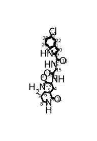 NC(=O)C(CC1CCCNC1=O)NC(=O)CNC(=O)c1cc2cc(Cl)ccc2[nH]1